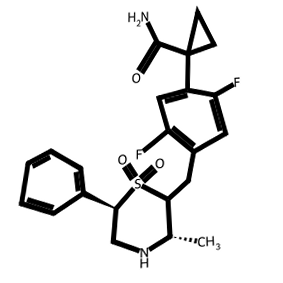 C[C@@H]1NC[C@@H](c2ccccc2)S(=O)(=O)C1Cc1cc(F)c(C2(C(N)=O)CC2)cc1F